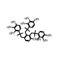 CCCc1ccc(C(C)(C)Cc2ccc(O)c(CC(C)(C)c3ccc(CCC)c(CCC)c3CCC)c2CC(C)(C)c2ccc(CCC)c(CCC)c2CCC)c(CCC)c1CCC